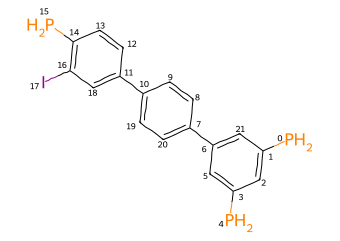 Pc1cc(P)cc(-c2ccc(-c3ccc(P)c(I)c3)cc2)c1